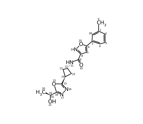 Cc1cccc(-c2cc(C(=O)N[C@H]3C[C@H](c4nnc([C@H](C)O)o4)C3)no2)c1